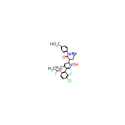 Cc1cc(C(CC2CC2)C(=O)Nc2ccc(C(=O)O)cc2)[n+](O)cc1-c1c(OC(C)F)ccc(Cl)c1F